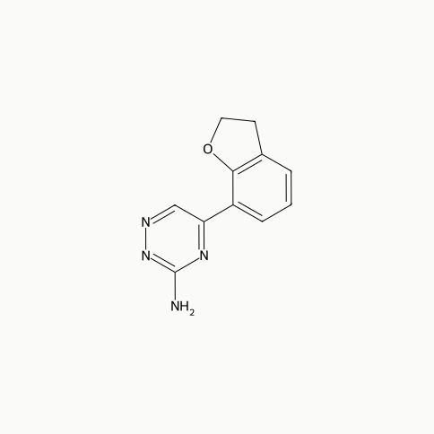 Nc1nncc(-c2cccc3c2OCC3)n1